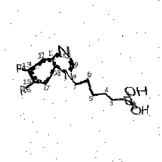 OB(O)CCCCCn1cnc2cc(F)c(F)cc21